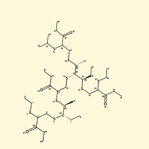 CCSC(CS[C@@H](CC)[C@H](C)SC(CS[C@H]([C@@H](C)SCC(SC(C)C)C(=O)CC)[C@@H](CC)SCC(SCC)C(=O)CC)C(=O)CC)C(=O)CC